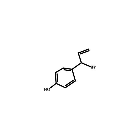 C=CC(c1ccc(O)cc1)C(C)C